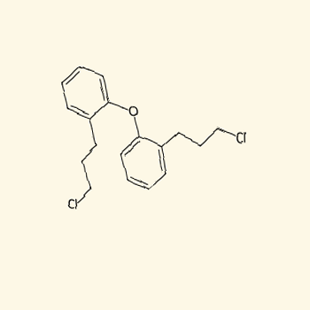 ClCCCc1ccccc1Oc1ccccc1CCCCl